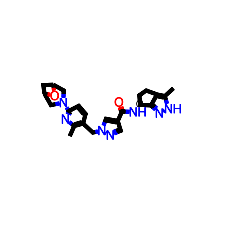 Cc1nc(N2CC3CC(C2)O3)ccc1Cn1cc(C(=O)N[C@@H]2CCc3c2n[nH]c3C)cn1